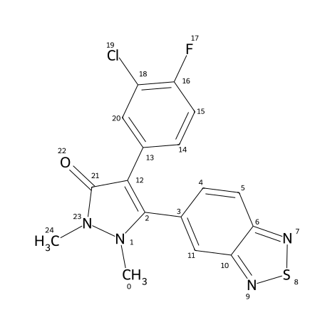 Cn1c(-c2ccc3nsnc3c2)c(-c2ccc(F)c(Cl)c2)c(=O)n1C